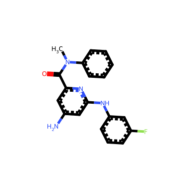 CN(C(=O)c1cc(N)cc(Nc2cccc(F)c2)n1)c1ccccc1